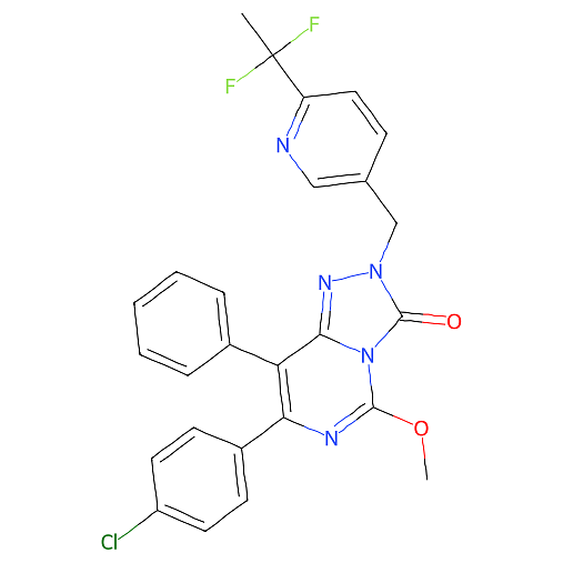 COc1nc(-c2ccc(Cl)cc2)c(-c2ccccc2)c2nn(Cc3ccc(C(C)(F)F)nc3)c(=O)n12